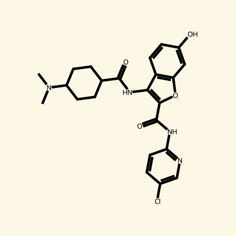 CN(C)C1CCC(C(=O)Nc2c(C(=O)Nc3ccc(Cl)cn3)oc3cc(O)ccc23)CC1